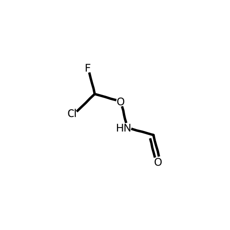 O=CNOC(F)Cl